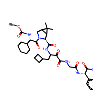 CN(C)C(=O)[C@@H](NC(=O)CNC(=O)C(=O)C(CC1CCC1)NC(=O)[C@@H]1C2C(CN1C(=O)[C@@H](NC(=O)OC(C)(C)C)C1CCCCC1)C2(C)C)c1ccccc1